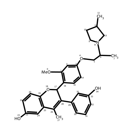 COc1cc(OCC(C)N2CCC(C)C2)ccc1C1Oc2ccc(O)cc2C(C)=C1c1cccc(O)c1